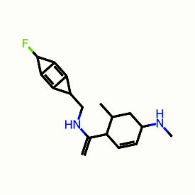 C=C(NCC1C2=C3C(=C21)C3F)C1C=CC(NC)CC1C